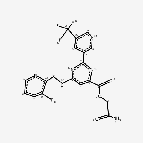 NC(=O)COC(=O)c1cc(NCc2ncccc2F)nc(-c2cncc(C(F)(F)F)c2)n1